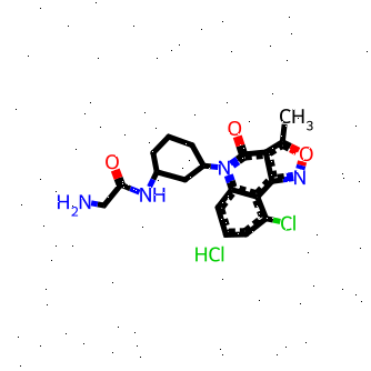 Cc1onc2c1c(=O)n(C1CCCC(NC(=O)CN)C1)c1cccc(Cl)c21.Cl